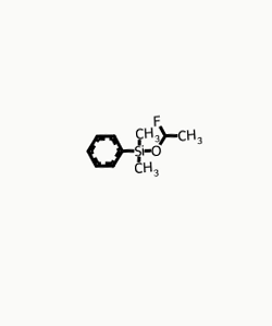 CC(F)O[Si](C)(C)c1ccccc1